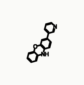 c1cncc(-c2ccc3c(c2)Oc2ccccc2N3)c1